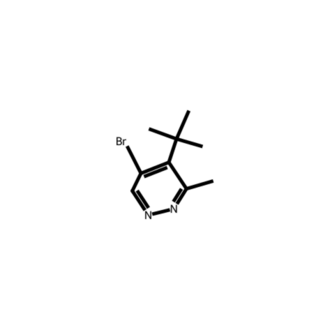 Cc1nncc(Br)c1C(C)(C)C